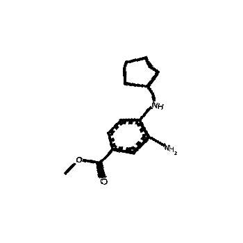 COC(=O)c1ccc(NC2CCCC2)c(N)c1